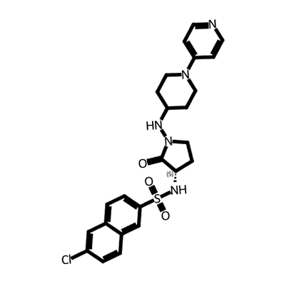 O=C1[C@@H](NS(=O)(=O)c2ccc3cc(Cl)ccc3c2)CCN1NC1CCN(c2ccncc2)CC1